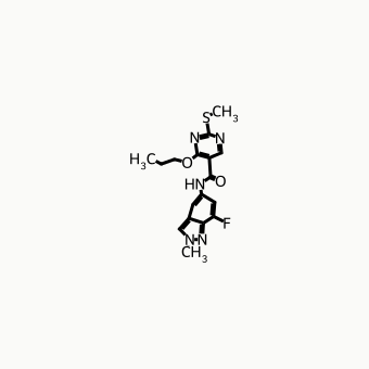 CCCOc1nc(SC)ncc1C(=O)Nc1cc(F)c2nn(C)cc2c1